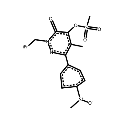 Cc1c(-c2ccc([S+](C)[O-])cc2)nn(CC(C)C)c(=O)c1OS(C)(=O)=O